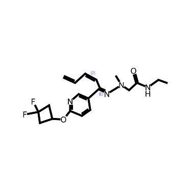 C=C/C=C\C(=N/N(C)CC(=O)NCC)c1ccc(OC2CC(F)(F)C2)nc1